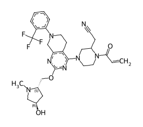 C=CC(=O)N1CCN(c2nc(OC[C@@H]3C[C@@H](O)CN3C)nc3c2CCN(c2ccccc2C(F)(F)F)C3)CC1CC#N